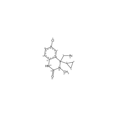 CC(=O)CC1(C2CC2)c2cc(Cl)ccc2NC(=O)N1C